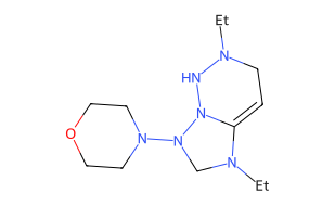 CCN1CC=C2N(CC)CN(N3CCOCC3)N2N1